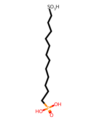 O=P(O)(O)CCCCCCCCCCCCS(=O)(=O)O